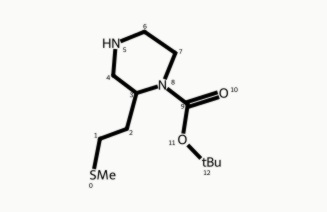 CSCCC1CNCCN1C(=O)OC(C)(C)C